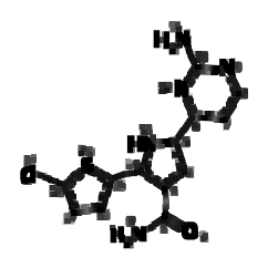 NC(=O)c1cc(-c2ccnc(N)n2)[nH]c1-c1ccc(Cl)s1